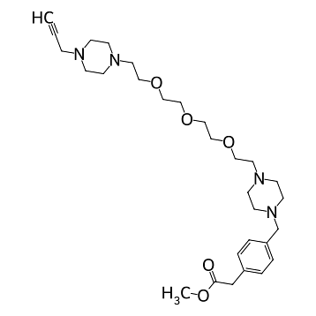 C#CCN1CCN(CCOCCOCCOCCN2CCN(Cc3ccc(CC(=O)OC)cc3)CC2)CC1